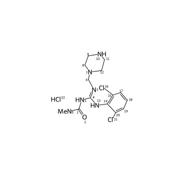 CNC(=O)NC(=NCN1CCNCC1)Nc1c(Cl)cccc1Cl.Cl